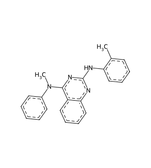 Cc1ccccc1Nc1nc(N(C)c2ccccc2)c2ccccc2n1